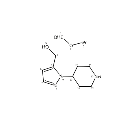 CC(C)OC=O.OCc1ccnn1C1CCNCC1